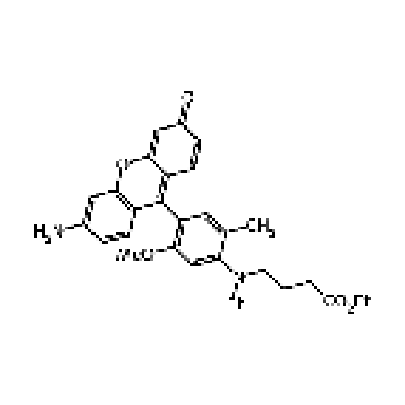 CCOC(=O)CCCN(CC)c1cc(OC)c(-c2c3ccc(=O)cc-3oc3cc(N)ccc23)cc1C